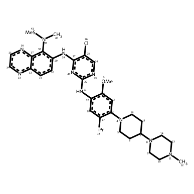 COc1cc(N2CCC(N3CCN(C)CC3)CC2)c(C(C)C)cc1Nc1ncc(Cl)c(Nc2ccc3nccnc3c2N(C)SC)n1